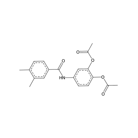 CC(=O)Oc1ccc(NC(=O)c2ccc(C)c(C)c2)cc1OC(C)=O